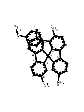 COc1ccc(-c2c(N)ccc3c2C2(c4cc(N)ccc4-c4ccc(N)cc42)c2cc(N)ccc2-3)cc1